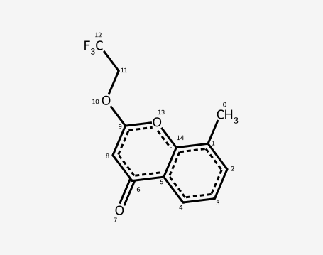 Cc1cccc2c(=O)cc(OCC(F)(F)F)oc12